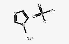 CCCS(=O)(=O)[O-].Cn1ccnc1.[Na+]